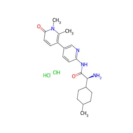 Cc1c(-c2ccc(NC(=O)[C@@H](N)C3CCC(C)CC3)nc2)ccc(=O)n1C.Cl.Cl